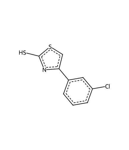 Sc1nc(-c2cccc(Cl)c2)cs1